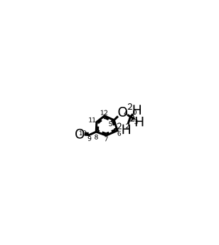 [2H]C([2H])([2H])Oc1ccc(C=O)cc1